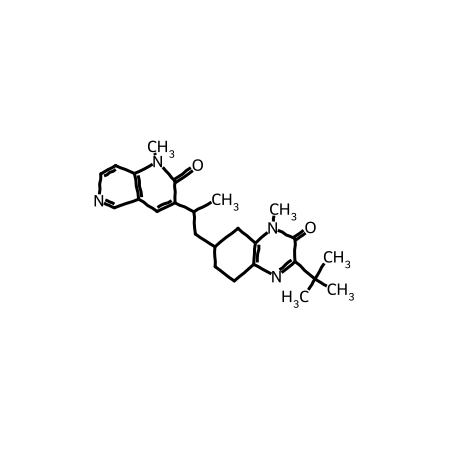 CC(CC1CCc2nc(C(C)(C)C)c(=O)n(C)c2C1)c1cc2cnccc2n(C)c1=O